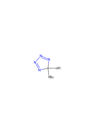 CCCC1(C(C)(C)C)N=NN=N1